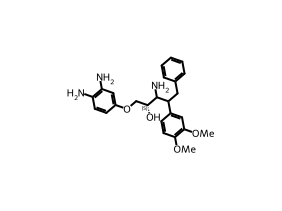 COc1ccc(C(Cc2ccccc2)C(N)[C@H](O)COc2ccc(N)c(N)c2)cc1OC